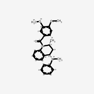 COc1ccc(C(=O)N2c3ccccc3[C@@H](N(C)c3ccccc3)C[C@H]2C)cc1OC